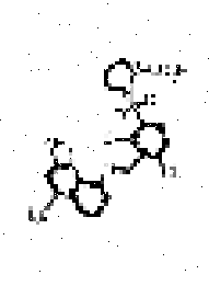 Cc1cc(C)c2cccc(OCc3c(Cl)ccc(S(=O)(=O)N4CCC[C@H]4C(=O)O)c3Cl)c2n1